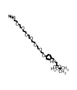 CC(C)(C)OC(=O)CNCc1ccc(OCCOCCOCCOCCOCCOCCOCCN=[N+]=[N-])cc1